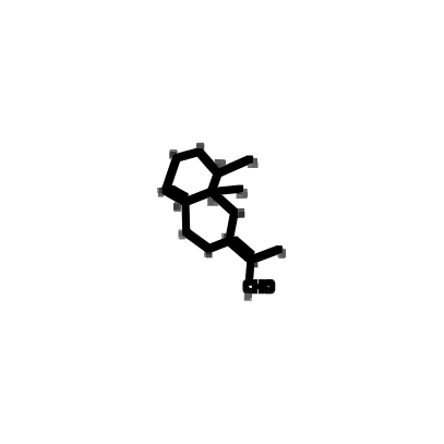 C/C(C=O)=C1/CCC2=CCCC(C)C2(C)C1